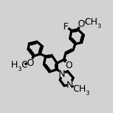 COc1ccc(/C=C/C(=O)c2cc(-c3ccccc3OC)ccc2N2CCN(C)CC2)cc1F